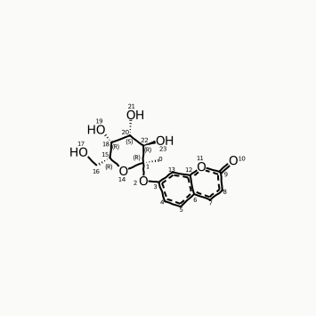 C[C@]1(Oc2ccc3ccc(=O)oc3c2)O[C@H](CO)[C@H](O)[C@H](O)[C@H]1O